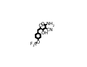 CC(=Cc1ccc(OC(F)(F)F)cc1)C(O)=C(C#N)C(N)=O